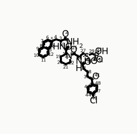 NC(=O)C(Cc1ccc2ccccc2c1)NC(=O)C1CCCCN1C(=O)C(CSCP(=O)(O)O)NC(=O)CCCC(=O)c1ccc(Cl)cc1